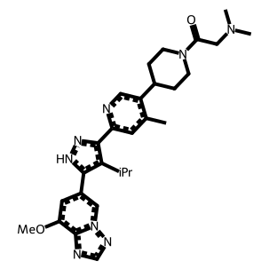 COc1cc(-c2[nH]nc(-c3cc(C)c(C4CCN(C(=O)CN(C)C)CC4)cn3)c2C(C)C)cn2ncnc12